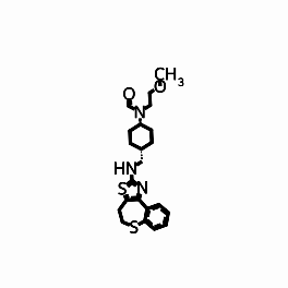 COCCN(C=O)[C@H]1CC[C@H](CNc2nc3c(s2)CCSc2ccccc2-3)CC1